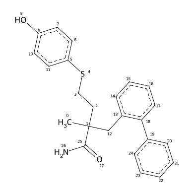 CC(CCSc1ccc(O)cc1)(Cc1ccccc1-c1ccccc1)C(N)=O